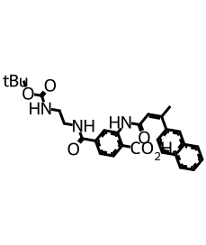 C/C(=C/C(=O)Nc1cc(C(=O)NCCNC(=O)OC(C)(C)C)ccc1C(=O)O)c1ccc2ccccc2c1